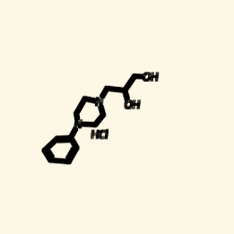 Cl.OCC(O)CN1CCN(c2ccccc2)CC1